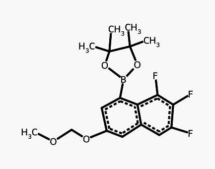 COCOc1cc(B2OC(C)(C)C(C)(C)O2)c2c(F)c(F)c(F)cc2c1